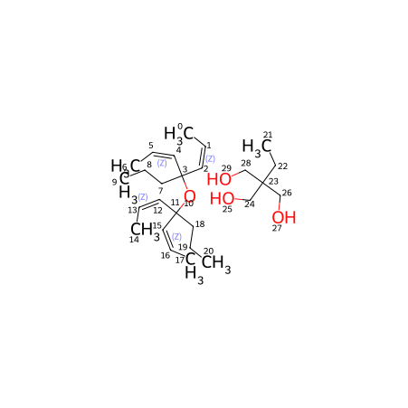 C/C=C\C(/C=C\C)(CCC)OC(/C=C\C)(/C=C\C)CCC.CCC(CO)(CO)CO